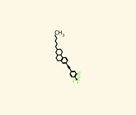 CCCCCCC1CCC2c3ccc(C#Cc4ccc(C(F)(F)F)c(F)c4)cc3CCC2C1